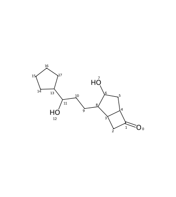 O=C1CC2C1CC(O)C2CCC(O)C1CCCC1